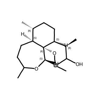 COO[C@]12[C@H]3OC(C)CC[C@H]1[C@H](C)CC[C@H]2[C@@H](C)C(O)O3